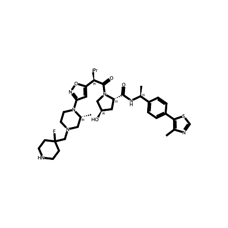 Cc1ncsc1-c1ccc([C@H](C)NC(=O)[C@@H]2C[C@@H](O)CN2C(=O)[C@@H](c2cc(N3CCN(CC4(F)CCNCC4)C[C@H]3C)no2)C(C)C)cc1